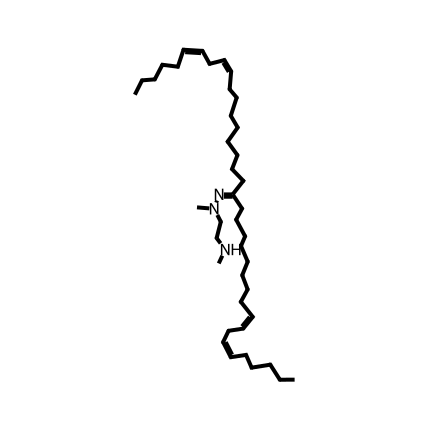 CCCCC/C=C\C/C=C\CCCCCCCCC(CCCCCCCC/C=C\C/C=C\CCCCC)=NN(C)CCNC